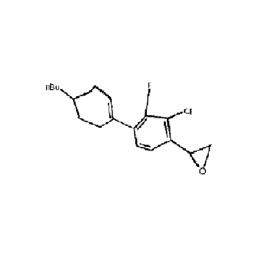 CCCCC1CC=C(c2ccc(C3CO3)c(Cl)c2F)CC1